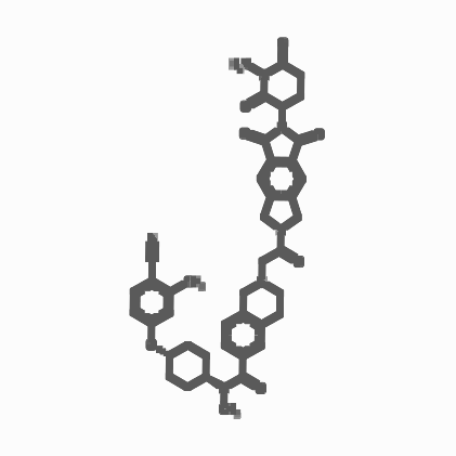 Cc1cc(O[C@H]2CC[C@H](N(C)C(=O)c3ccc4c(c3)CCN(CC(=O)N3Cc5cc6c(cc5C3)C(=O)N(C3CCC(=O)N(N)C3=O)C6=O)C4)CC2)ccc1C#N